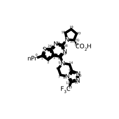 CCCc1cc2c(N3CCn4c(nnc4C(F)(F)F)C3)nc(N3CCC[C@H]3C(=O)O)nc2s1